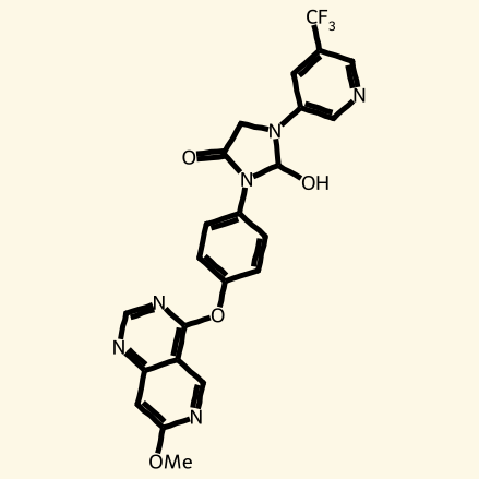 COc1cc2ncnc(Oc3ccc(N4C(=O)CN(c5cncc(C(F)(F)F)c5)C4O)cc3)c2cn1